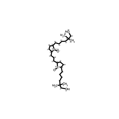 CC(C)(CO)CCCCC1CCC(CCCC2CCC(CCCCC(C)(C)CO)[S+]2[O-])[S+]1[O-]